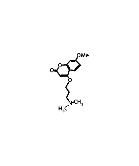 COc1ccc2c(OCCCN(C)C)cc(=O)oc2c1